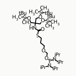 CC(C)N(C(C)C)P(OCOCCCSC(=O)NC(CO[Si](C)(C)C(C)(C)C)(CO[Si](C)(C)C(C)(C)C)CO[Si](C)(C)C(C)(C)C)N(C(C)C)C(C)C